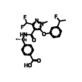 CC(F)c1cccc(Oc2c(C(=O)N[C@@H](C)c3ccc(C(=O)O)cc3)c(C(F)F)nn2C)c1